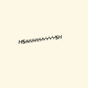 SCCCCCCCCCCCCCCCCCCCCS